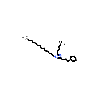 CCCCCCCCCCCCCCn1cc(CCCc2ccccc2)nc1CCCCC